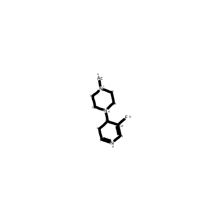 CC(=O)N1CCN(C2CC=NC=C2F)CC1